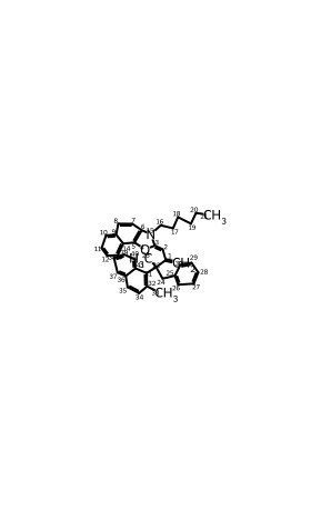 C=C(/C=C1\Oc2c(ccc3ccccc23)N1CCCCCC)C(C)(Cc1ccccc1)c1c(C)ccc2ccccc12